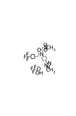 Cn1cnc(C2CCC(N3C[C@H](CS(C)(=O)=O)OC[C@@H]3Cc3ccc(C(F)(F)F)cc3)CC2)n1.O=C(O)C(F)(F)F